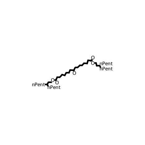 CCCCCC(CCCCC)CCOC(=O)CCCCCCCC(=O)CCCCCCCC(=O)OCCC(CCCCC)CCCCC